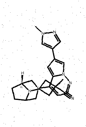 Cn1cc(-c2cc3c(N4CC5CC[C@H](C4)N5C4CC(C)(C#N)C4)ccnn3c2)cn1